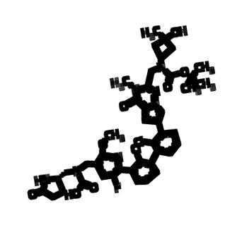 COc1nc(-c2cccc(-c3cccc(-c4cc5c(=O)n(C)c(CN(C(=O)OC(C)(C)C)C6CC(C)(O)C6)nn5c4)c3Cl)c2Cl)c(F)cc1CN(C[C@@H]1CCC(=O)N1)C(=O)O